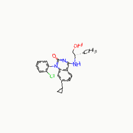 C[C@@H](CO)Nc1nc(=O)n(-c2ccccc2Cl)c2cc(C3CC3)ccc12